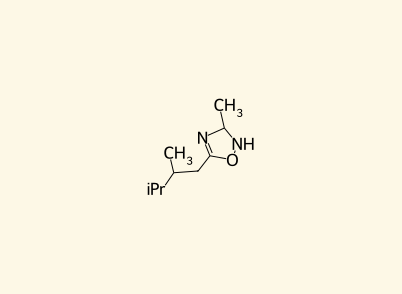 CC1N=C(CC(C)C(C)C)ON1